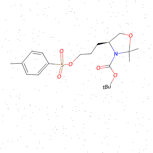 Cc1ccc(S(=O)(=O)OCCC[C@H]2COC(C)(C)N2C(=O)OC(C)(C)C)cc1